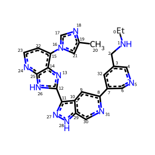 CCNCc1cncc(-c2cc3c(-c4nc5c(-n6cnc(C)c6)ccnc5[nH]4)n[nH]c3cn2)c1